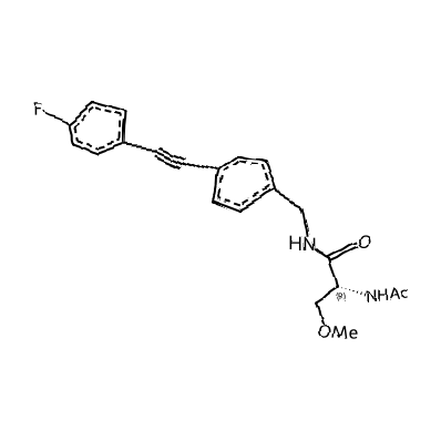 COC[C@@H](NC(C)=O)C(=O)NCc1ccc(C#Cc2ccc(F)cc2)cc1